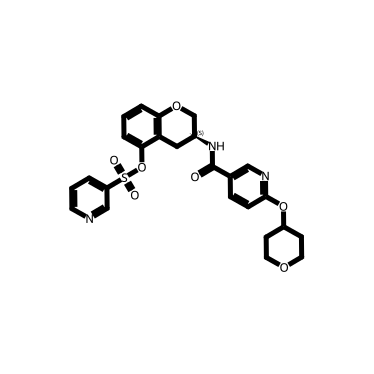 O=C(N[C@@H]1COc2cccc(OS(=O)(=O)c3cccnc3)c2C1)c1ccc(OC2CCOCC2)nc1